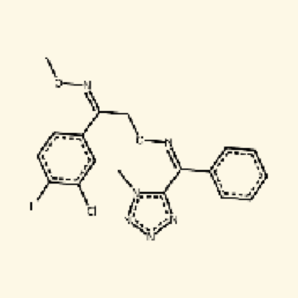 CO/N=C(/CO/N=C(/c1ccccc1)c1nnnn1C)c1ccc(F)c(Cl)c1